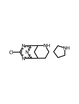 C1CCNC1.Clc1nc2nc(n1)C1CC2CCN1